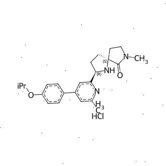 Cc1cc(-c2ccc(OC(C)C)cc2)cc([C@H]2CC[C@@]3(CCN(C)C3=O)N2)n1.Cl